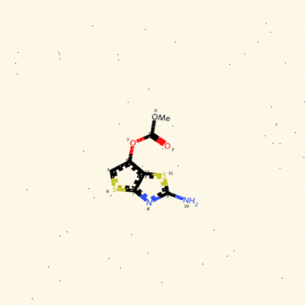 COC(=O)Oc1csc2nc(N)sc12